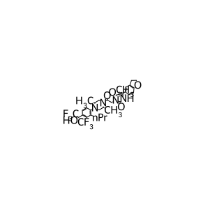 CCCc1cc(C(O)(C(F)(F)F)C(F)(F)F)ccc1N1CC(C)N(C(=O)CN2C(=O)N[C@@](C)(c3ccc4c(c3)CCO4)C2=O)CC1C